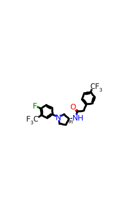 O=C(Cc1ccc(C(F)(F)F)cc1)N[C@@H]1CCN(c2ccc(F)c(C(F)(F)F)c2)C1